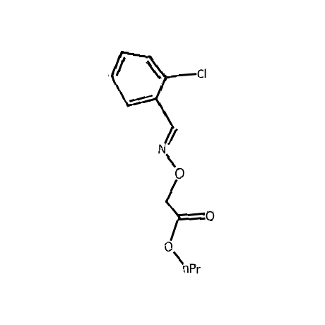 CCCOC(=O)CO/N=C/c1c[c]ccc1Cl